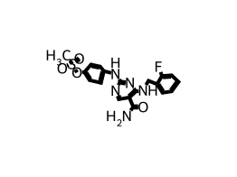 CS(=O)(=O)Oc1ccc(Nc2ncc(C(N)=O)c(NCc3ccccc3F)n2)cc1